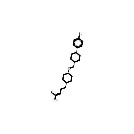 CCc1ccc([C@H]2CC[C@H](CO[C@H]3CC[C@H](CCC=C(F)C#N)CC3)CC2)cc1